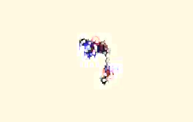 CC(C)CC(NC(=O)C(Cc1ccccc1)NC(=O)c1cnccn1)B1OC(C)(CCCCCCNOC(=O)c2ccccc2)CN1C